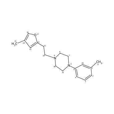 Cc1cccc(N2CCN(CCc3cc(C)co3)CC2)c1